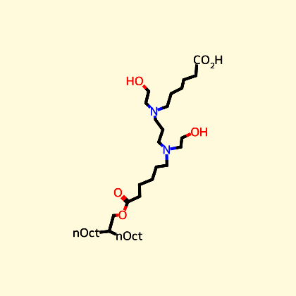 CCCCCCCCC(CCCCCCCC)COC(=O)CCCCCN(CCO)CCCN(CCO)CCCCCC(=O)O